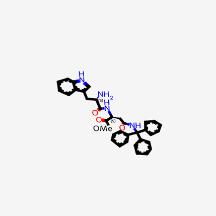 COC(=O)[C@H](CC(=O)NC(c1ccccc1)(c1ccccc1)c1ccccc1)NC(=O)[C@@H](N)Cc1c[nH]c2ccccc12